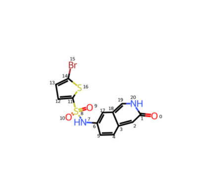 O=c1cc2ccc(NS(=O)(=O)c3ccc(Br)s3)cc2c[nH]1